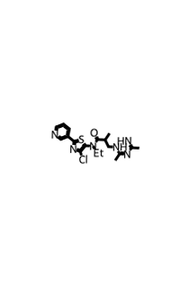 CCN(C(=O)C(C)CN/C(C)=N\C(C)=N)c1sc(-c2cccnc2)nc1Cl